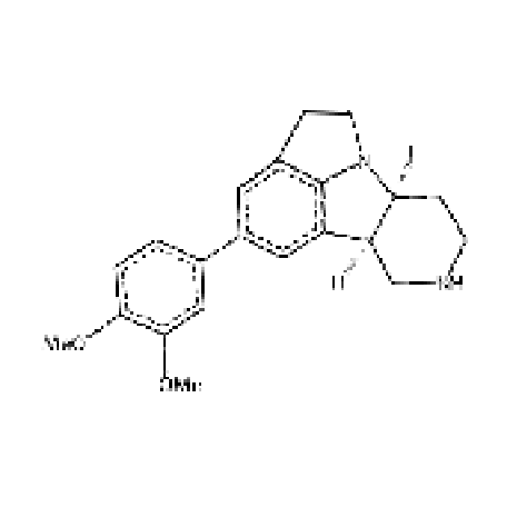 COc1ccc(-c2cc3c4c(c2)[C@@H]2CNCC[C@@H]2N4CC3)cc1OC